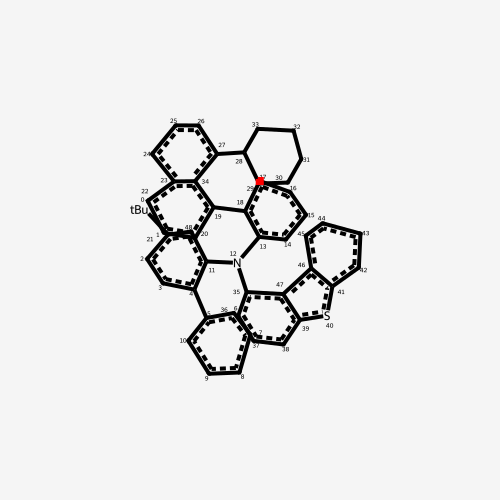 CC(C)(C)c1ccc(-c2ccccc2)c(N(c2ccccc2-c2cccc3cccc(C4CCCCC4)c23)c2cccc3sc4ccccc4c23)c1